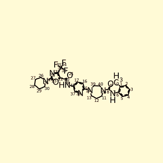 Cc1ccccc1NC(=O)N1CCCN(c2ccc(NC(=O)c3oc(N4CCCCC4)nc3C(F)(F)F)cn2)CC1